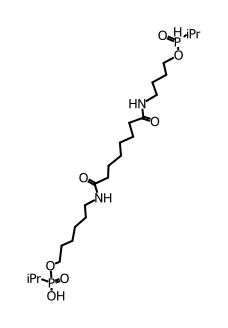 CC(C)[PH](=O)OCCCCNC(=O)CCCCCCC(=O)NCCCCCCOP(=O)(O)C(C)C